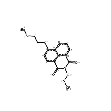 CCC(C)SCCSc1ccc2c3c(cccc13)C(=O)N(OSC(F)(F)F)C2=O